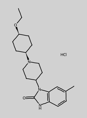 CCO[C@H]1CC[C@@H](N2CCC(n3c(=O)[nH]c4ccc(C)cc43)CC2)CC1.Cl